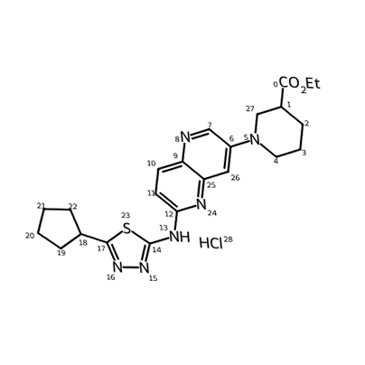 CCOC(=O)C1CCCN(c2cnc3ccc(Nc4nnc(C5CCCC5)s4)nc3c2)C1.Cl